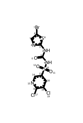 O=C(Nc1ncc(Br)s1)NS(=O)(=O)c1cnc(Cl)c(Cl)c1